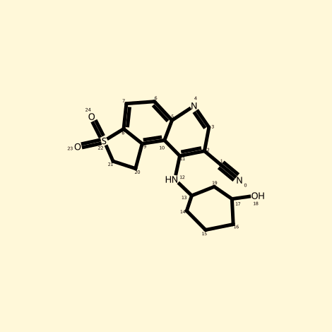 N#Cc1cnc2ccc3c(c2c1NC1CCCC(O)C1)CCS3(=O)=O